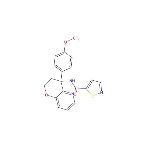 O=C(NC1(c2ccc(OC(F)(F)F)cc2)CCOc2cccnc21)c1ccns1